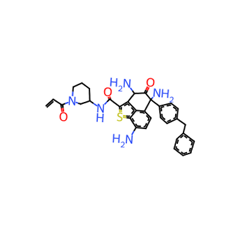 C=CC(=O)N1CCCC(NC(=O)c2sc3c(N)ccc4c3c2C(N)C(=O)C4(N)c2ccc(Cc3ccccc3)cc2)C1